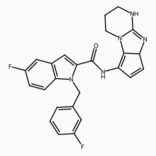 O=C(NC1=C2C(C=C1)N=C1NCCCN12)c1cc2cc(F)ccc2n1Cc1cccc(F)c1